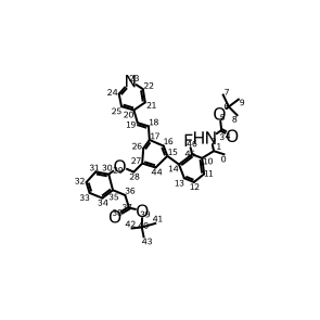 CC(NC(=O)OC(C)(C)C)c1cccc(-c2cc(/C=C/c3ccncc3)cc(COc3ccccc3CC(=O)OC(C)(C)C)c2)c1F